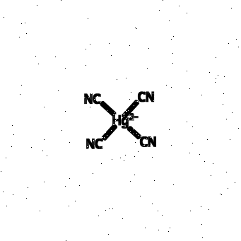 N#[C][Hg-2]([C]#N)([C]#N)[C]#N